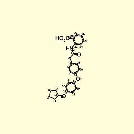 O=C(Cc1ccc(Oc2ccc(OC3CCCC3)cc2)cc1)Nc1ccccc1C(=O)O